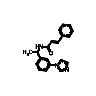 CC(NC(=O)C=Cc1ccccc1)c1cccc(-n2ccnc2)c1